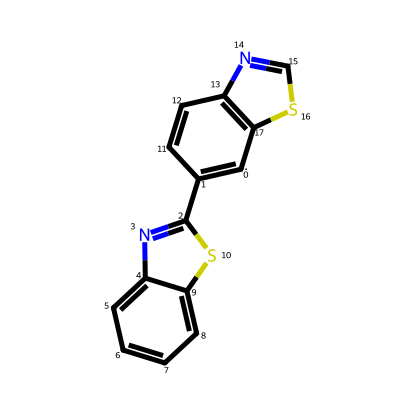 [c]1c(-c2nc3ccccc3s2)ccc2ncsc12